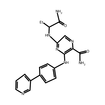 CCC(Nc1cnc(C(N)=O)c(Nc2ccc(-c3cccnc3)cc2)n1)C(N)=O